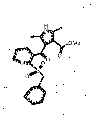 COC(=O)c1c(C)[nH]c(C)c1C(=O)c1ccccc1S(=O)(=O)Cc1ccccc1